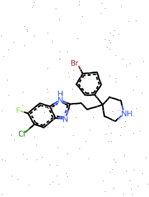 Fc1cc2[nH]c(CCC3(c4ccc(Br)cc4)CCNCC3)nc2cc1Cl